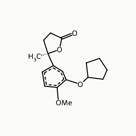 COc1ccc([C@@]2(C)CCC(=O)O2)cc1OC1CCCC1